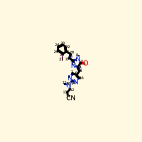 CN1C(=O)/C(=C/c2cnc(N(C)CCC#N)nc2)N=C1/C=C/c1ccccc1I